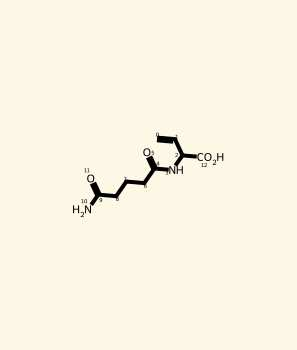 C=CC(NC(=O)CCCC(N)=O)C(=O)O